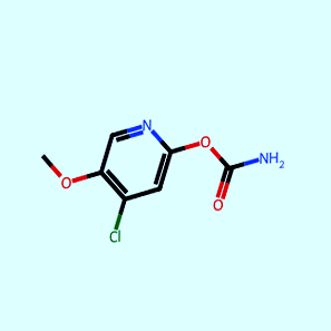 COc1cnc(OC(N)=O)cc1Cl